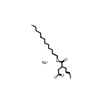 CCCCCCCCCCCCOC(=O)C(CC=CF)CC(=O)[O-].[Na+]